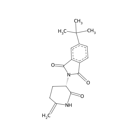 C=C1CC[C@H](N2C(=O)c3ccc(C(C)(C)C)cc3C2=O)C(=O)N1